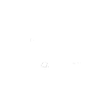 [CH2]Cc1nc(CCCCCCCCCCCCCCCCCCC)cc(CCCCCCCCCCCCCCCCCCC)n1